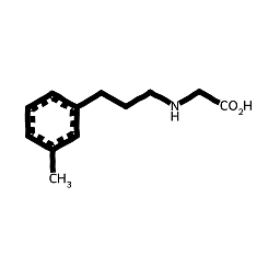 Cc1cccc(CCCNCC(=O)O)c1